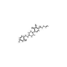 C=CCCOc1ccc(C2CCC(CCc3ccc(C)cc3F)CC2)c(F)c1F